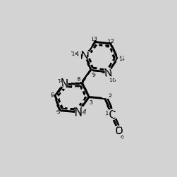 O=C=Cc1nccnc1-c1ncccn1